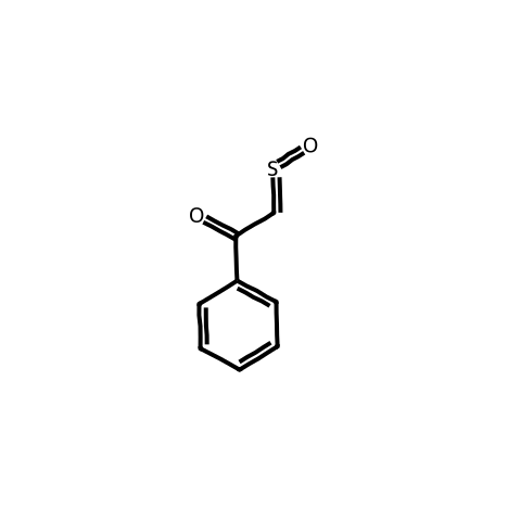 O=S=CC(=O)c1ccccc1